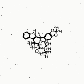 [2H]C1([2H])Oc2ccc([C@]3([2H])c4[nH]c5ccccc5c4C([2H])([2H])[C@@H]4C(=O)N(C([2H])([2H])[2H])C([2H])([2H])C(=O)N43)cc2O1